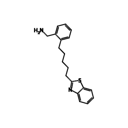 NCc1ccccc1CCCCCc1nc2ccccc2s1